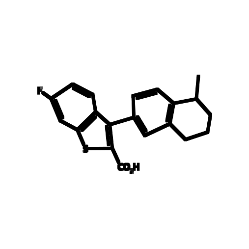 CC1CCCc2cc(-c3c(C(=O)O)sc4cc(F)ccc34)ccc21